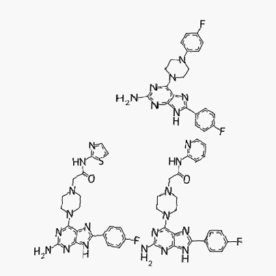 Nc1nc(N2CCN(CC(=O)Nc3ccccn3)CC2)c2nc(-c3ccc(F)cc3)[nH]c2n1.Nc1nc(N2CCN(CC(=O)Nc3nccs3)CC2)c2nc(-c3ccc(F)cc3)[nH]c2n1.Nc1nc(N2CCN(c3ccc(F)cc3)CC2)c2nc(-c3ccc(F)cc3)[nH]c2n1